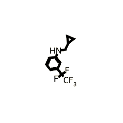 FC(F)(F)C(F)(F)c1cccc(NCC2CC2)c1